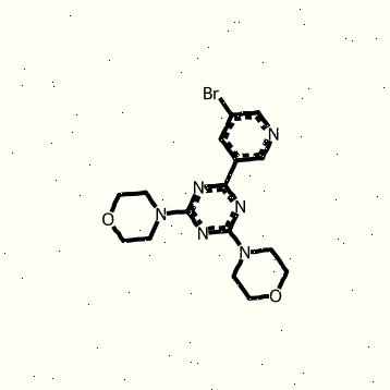 Brc1cncc(-c2nc(N3CCOCC3)nc(N3CCOCC3)n2)c1